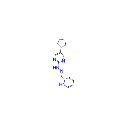 C1=CNC(/C=N/Nc2ncc(C3CCCC3)cn2)C=C1